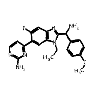 CCn1c(C(N)c2ccc(OC)cc2)nc2cc(F)c(-c3ccnc(N)n3)cc21